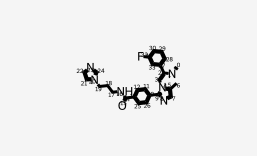 C=N/C(=C\n1c(C)cnc1-c1ccc(C(=O)NCCCn2ccnc2)cc1)c1cccc(F)c1